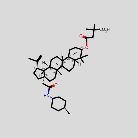 C=C(C)[C@@H]1CC[C@]2(CC(=O)N[C@H]3CC[C@H](C)CC3)CC[C@]3(C)[C@H](CC[C@@H]4[C@@]5(C)CC[C@H](OC(=O)CC(C)(C)C(=O)O)C(C)(C)[C@@H]5CC[C@]43C)[C@@H]12